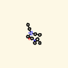 c1ccc(-c2ccc(-c3nc(-c4ccc(-c5ccccc5)cc4)nc(-c4cccc5oc6cc(-n7c8ccccc8c8c(-c9ccccc9)cccc87)ccc6c45)n3)cc2)cc1